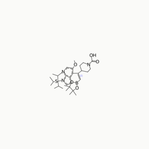 COc1cnc2c(ccn2[Si](C(C)C)(C(C)C)C(C)C)c1/C(=C\B1OC(C)(C)C(C)(C)O1)C1CCN(C(=O)O)CC1